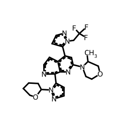 CC1COCCN1c1cc(-c2ccnn2CC(F)(F)F)c2ccnc(-c3ccnn3C3CCCCO3)c2n1